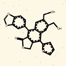 O=C1OCc2c1c(-c1ccc3c(c1)OCO3)c1cc(CO)c(CO)cc1c2-c1cccs1